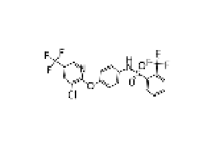 O=S(=O)(Nc1ccc(Oc2ncc(C(F)(F)F)cc2Cl)cc1)c1ccccc1C(F)(F)F